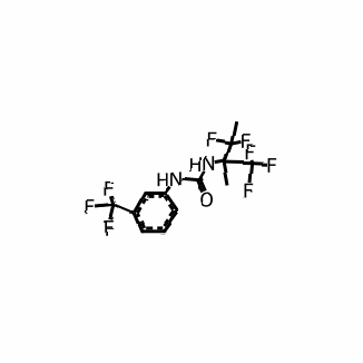 CC(F)(F)C(C)(NC(=O)Nc1cccc(C(F)(F)F)c1)C(F)(F)F